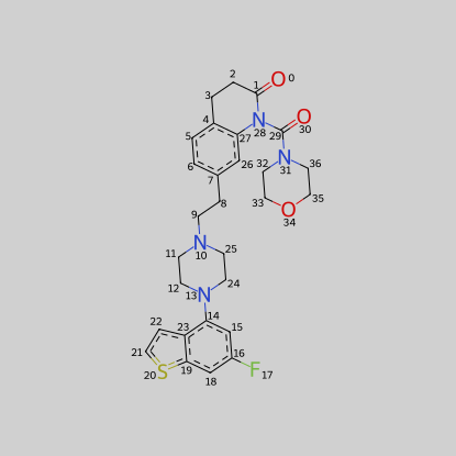 O=C1CCc2ccc(CCN3CCN(c4cc(F)cc5sccc45)CC3)cc2N1C(=O)N1CCOCC1